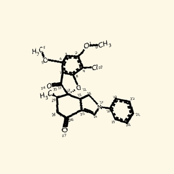 COc1cc(OC)c2c(c1Cl)O[C@]1(C2=O)C2CN(c3ccccc3)C=C2C(=O)C[C@H]1C